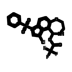 O=C(OC1NCCOc2ccc3c(c(Cl)cn3S(=O)(=O)c3ccccc3)c21)C(F)(F)F